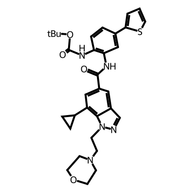 CC(C)(C)OC(=O)Nc1ccc(-c2cccs2)cc1NC(=O)c1cc(C2CC2)c2c(cnn2CCN2CCOCC2)c1